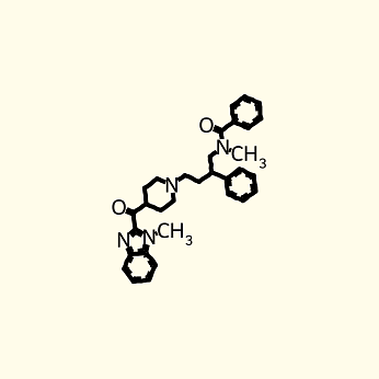 CN(CC(CCN1CCC(C(=O)c2nc3ccccc3n2C)CC1)c1ccccc1)C(=O)c1ccccc1